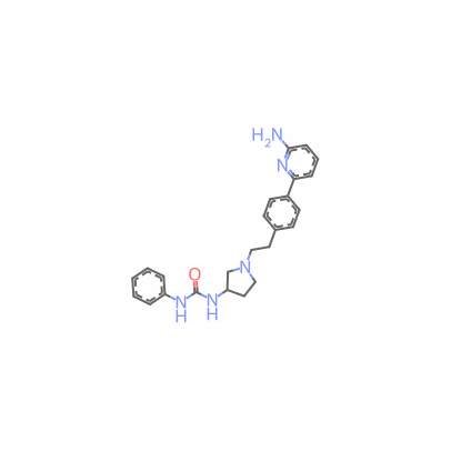 Nc1cccc(-c2ccc(CCN3CCC(NC(=O)Nc4ccccc4)C3)cc2)n1